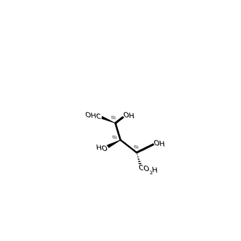 O=C[C@@H](O)[C@H](O)[C@H](O)C(=O)O